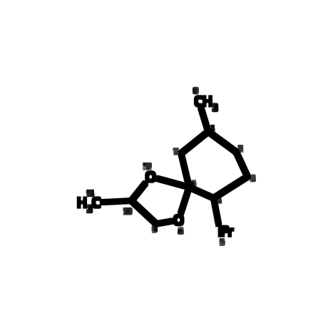 CC1CCC(C(C)C)C2(C1)OCC(C)O2